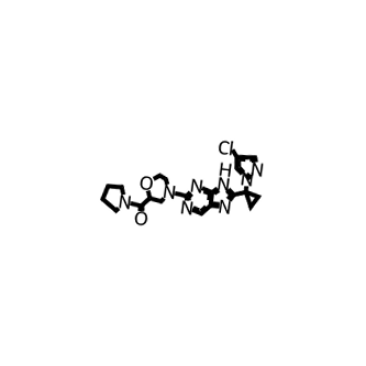 O=C(C1CN(c2ncc3nc(C4(n5cc(Cl)cn5)CC4)[nH]c3n2)CCO1)N1CCCC1